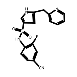 N#Cc1ccc(NS(=O)(=O)c2c[nH]c(Cc3ccccn3)c2)c(F)c1